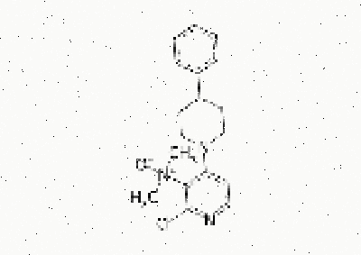 C[N+](C)([O-])c1c(N2CCC(c3ccccc3)CC2)ccnc1Cl